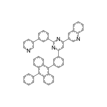 c1ccc(-c2c3ccccc3c(-c3cccc(-c4cc(-c5cnc6ccccc6c5)nc(-c5cccc(-c6cccnc6)c5)n4)c3)c3ccccc23)cc1